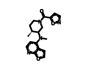 C[C@@H]1CCN(C(=O)c2ccno2)CC1N(C)c1ccnc2occc12